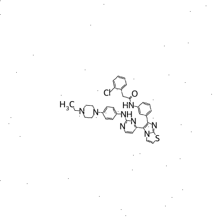 CCN1CCN(c2ccc(Nc3nccc(-c4c(-c5cccc(NC(=O)Cc6ccccc6Cl)c5)nc5sccn45)n3)cc2)CC1